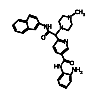 CN1CCN(C(C(=O)Nc2ccc3ccccc3c2)c2ccc(C(=O)Nc3ccccc3N)cn2)CC1